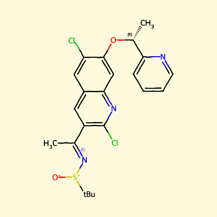 C/C(=N\[S+]([O-])C(C)(C)C)c1cc2cc(Cl)c(O[C@H](C)c3ccccn3)cc2nc1Cl